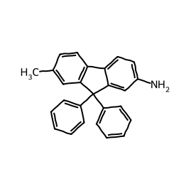 Cc1ccc2c(c1)C(c1ccccc1)(c1ccccc1)c1cc(N)ccc1-2